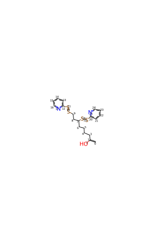 C=C(O)CCCCC(CCSSc1ccccn1)SSc1ccccn1